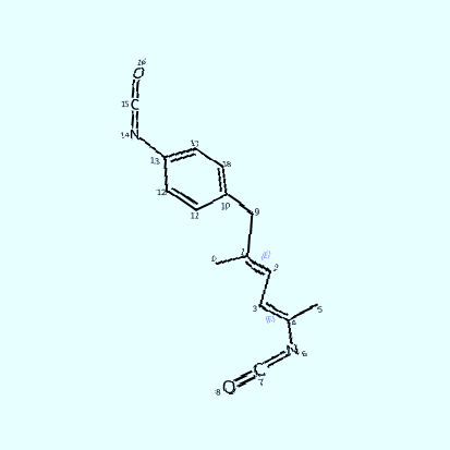 C/C(=C\C=C(/C)N=C=O)Cc1ccc(N=C=O)cc1